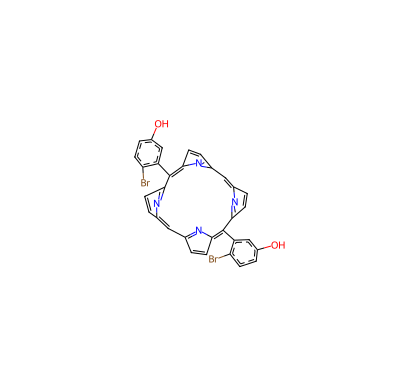 Oc1ccc(Br)c(C2=C3C=CC(=N3)C=C3C=CC(=N3)C(c3cc(O)ccc3Br)=C3C=CC(=N3)C=C3C=CC2=N3)c1